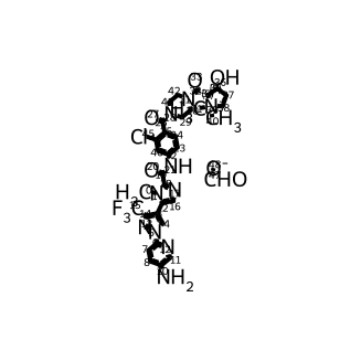 Cn1c(-c2cn(-c3ccc(N)cn3)nc2C(F)(F)F)cnc1C(=O)Nc1ccc(C(=O)N2CCN(C(=O)[C@@H]3[C@@H](O)CC[N+]3(C)C)CC2)c(Cl)c1.O=C[O-]